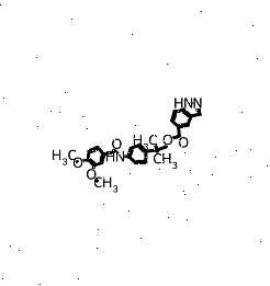 COc1ccc(C(=O)Nc2ccc(C(C)(C)COC(=O)c3ccc4[nH]ncc4c3)cc2)cc1OC